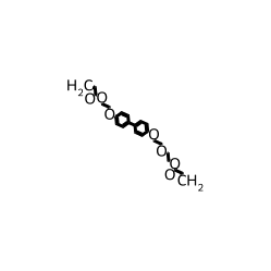 C=CC(=O)OCCOCCOc1ccc(-c2ccc(OCCOC(=O)C=C)cc2)cc1